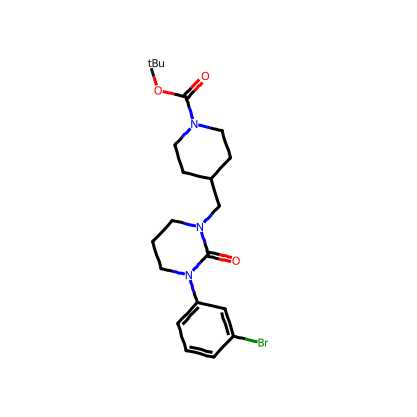 CC(C)(C)OC(=O)N1CCC(CN2CCCN(c3cccc(Br)c3)C2=O)CC1